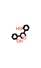 Oc1ccccc1C1COCC(c2ccccc2O)C1